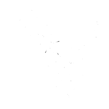 C=CCC1(Cc2ccncc2)NC(=CC(=O)c2ccc(C#N)cc2)N([C@H]2[C@@H]3CN(S(=O)(=O)c4ccccc4)C[C@@H]32)C1=O